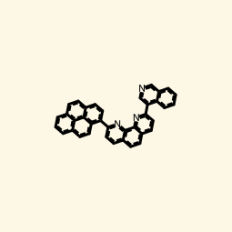 c1ccc2c(-c3ccc4ccc5ccc(-c6ccc7ccc8cccc9ccc6c7c89)nc5c4n3)cncc2c1